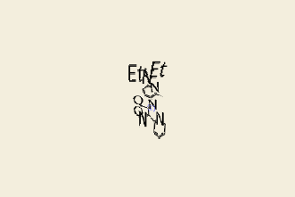 CCN(CC)c1ccc(/N=C2\C(=O)ON=C2c2ccccn2)c(C)n1